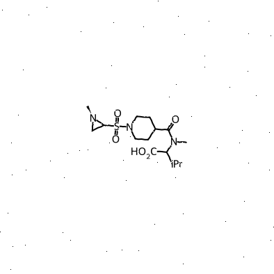 CC(C)C(C(=O)O)N(C)C(=O)C1CCN(S(=O)(=O)C2C[N@@]2C)CC1